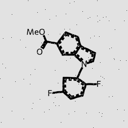 COC(=O)c1ccc2ccn(-c3cc(F)ccc3F)c2c1